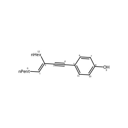 CCCCCC=C(C#Cc1ccc(O)cc1)CCCCCC